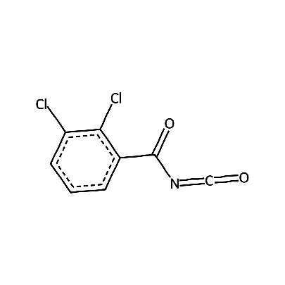 O=C=NC(=O)c1cccc(Cl)c1Cl